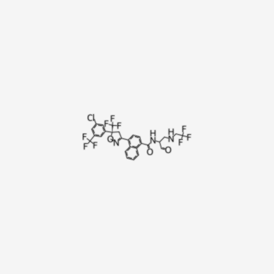 O=CC(CNCC(F)(F)F)NC(=O)c1ccc(C2=NO[C@@](c3cc(Cl)cc(C(F)(F)F)c3)(C(F)(F)F)C2)c2ccccc12